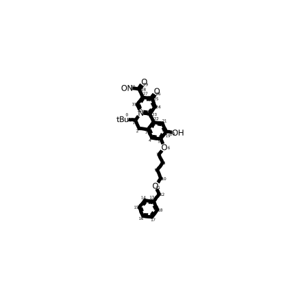 CC(C)(C)C1Cc2cc(OCCCCOCc3ccccc3)c(O)cc2-c2cc(=O)c(C(=O)N=O)cn21